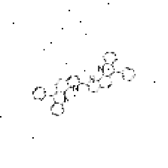 c1ccc(-c2c3ccccc3nc3c2ccc2ccc(-c4ccc5ccc6c(-c7ccccc7)c7ccccc7nc6c5n4)nc23)cc1